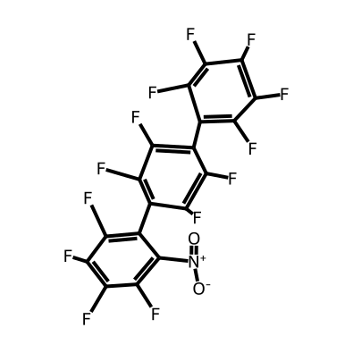 O=[N+]([O-])c1c(F)c(F)c(F)c(F)c1-c1c(F)c(F)c(-c2c(F)c(F)c(F)c(F)c2F)c(F)c1F